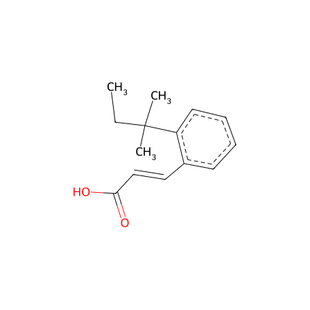 CCC(C)(C)c1ccccc1/C=C/C(=O)O